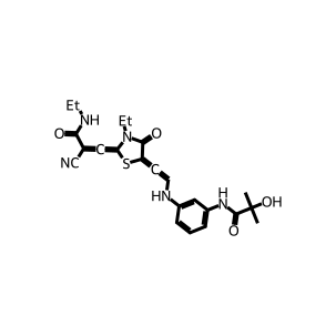 CCNC(=O)C(=C=c1sc(=C=CNc2cccc(NC(=O)C(C)(C)O)c2)c(=O)n1CC)C#N